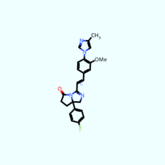 COc1cc(/C=C/C2=NCC3(c4ccc(F)cc4)CCC(=O)N23)ccc1-n1cnc(C)c1